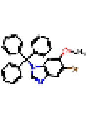 COc1cc2c(cc1Br)ncn2C(c1ccccc1)(c1ccccc1)c1ccccc1